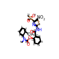 CC(=O)Oc1ccccc1N(C)C(=O)Oc1ccccc1C(=O)Nc1nc(S(C)(=O)=O)c([N+](=O)[O-])s1